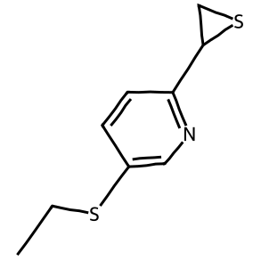 CCSc1ccc(C2CS2)nc1